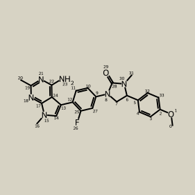 COc1ccc(C2CN(c3ccc(-c4cn(C)c5nc(C)nc(N)c45)c(F)c3)C(=O)N2C)cc1